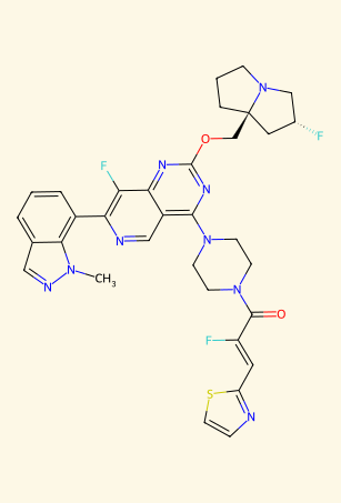 Cn1ncc2cccc(-c3ncc4c(N5CCN(C(=O)/C(F)=C/c6nccs6)CC5)nc(OC[C@@]56CCCN5C[C@H](F)C6)nc4c3F)c21